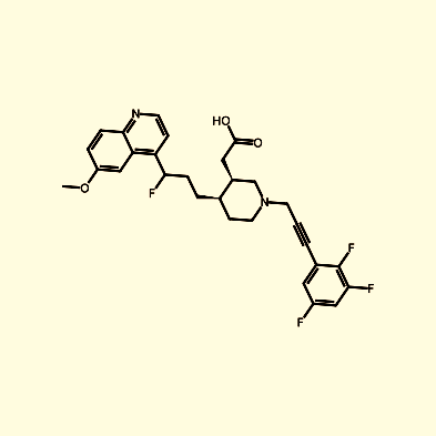 COc1ccc2nccc(C(F)CC[C@@H]3CCN(CC#Cc4cc(F)cc(F)c4F)C[C@@H]3CC(=O)O)c2c1